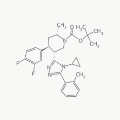 Cc1ccccc1-c1nnc([C@H]2CN(C(=O)OC(C)(C)C)[C@@H](C)C[C@@H]2c2ccc(F)c(F)c2)n1C1CC1